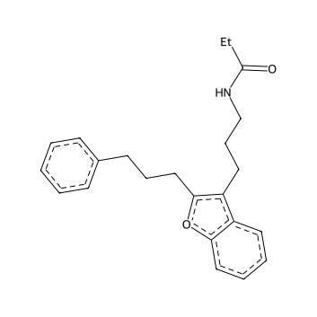 CCC(=O)NCCCc1c(CCCc2ccccc2)oc2ccccc12